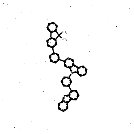 CC1(C)c2ccccc2-c2ccc(-c3cccc(-c4ccc5c6ccccc6n(-c6cccc(-c7cccc8c7sc7ccccc78)c6)c5c4)c3)cc21